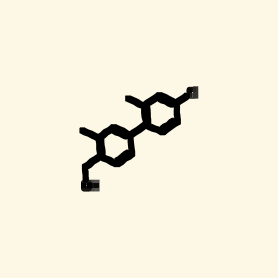 Cc1cc(-c2ccc(Cl)cc2C)ccc1CO